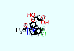 CC(=O)NC1CCCCC1(c1ccc(Cl)c(Cl)c1)[N+]1(C)CCCC1.O=C(O)/C=C/C(=O)O